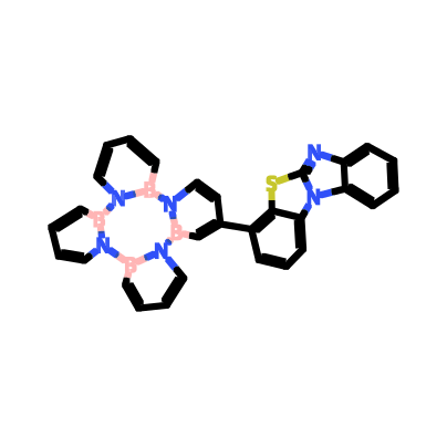 C1=CB2N(C=C1)B1C=CC=CN1B1C=C(c3cccc4c3sc3nc5ccccc5n34)C=CN1B1C=CC=CN21